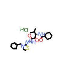 CC(C)[C@H](NC(=O)C1CCCCC1)C(=O)C(=O)NN=C1SCCN1Cc1ccccc1.Cl